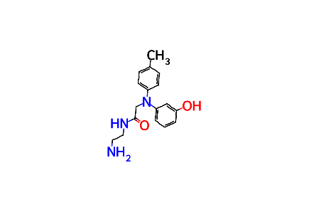 Cc1ccc(N(CC(=O)NCCN)c2cccc(O)c2)cc1